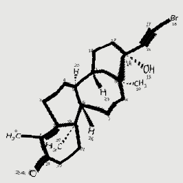 CC1=C2CC[C@@H]3[C@H](CC[C@@]4(C)[C@H]3CC[C@@]4(O)C#CBr)[C@@]2(C)CCC1=O